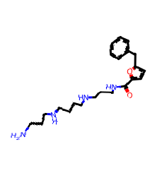 NCCCNCCCCNCCCNC(=O)c1ccc(Cc2ccccc2)o1